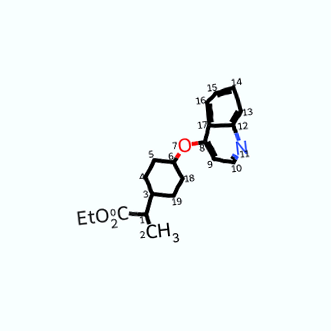 CCOC(=O)C(C)C1CCC(Oc2ccnc3ccccc23)CC1